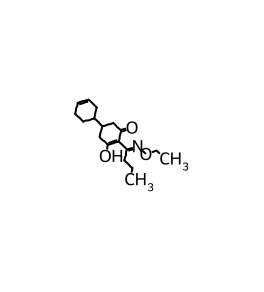 CCCC(=NOCC)C1=C(O)CC(C2CC=CCC2)CC1=O